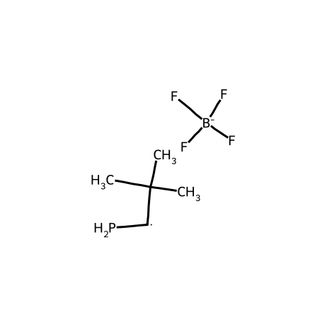 CC(C)(C)[CH]P.F[B-](F)(F)F